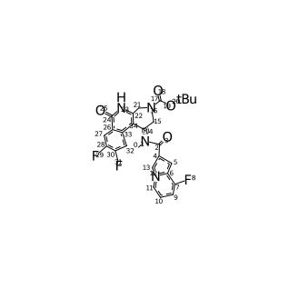 CN(C(=O)c1cc2c(F)cccn2c1)[C@H]1CN(C(=O)OC(C)(C)C)Cc2[nH]c(=O)c3cc(F)c(F)cc3c21